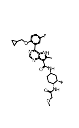 COCC(=O)N[C@@H]1CC[C@@H](NC(=O)c2c(C)[nH]c3c(-c4cc(F)ccc4OCC4CC4)ncnc23)C[C@H]1F